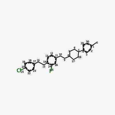 Cc1ccc(C2CCC(CCc3ccc(CCc4ccc(Cl)cc4)c(F)c3)CC2)cc1